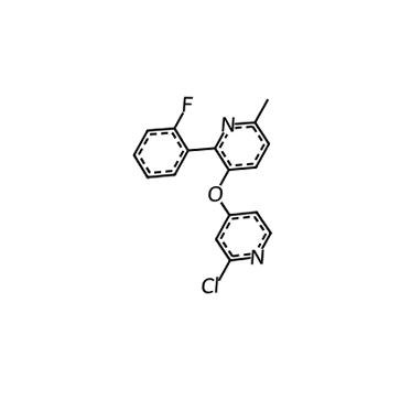 Cc1ccc(Oc2ccnc(Cl)c2)c(-c2ccccc2F)n1